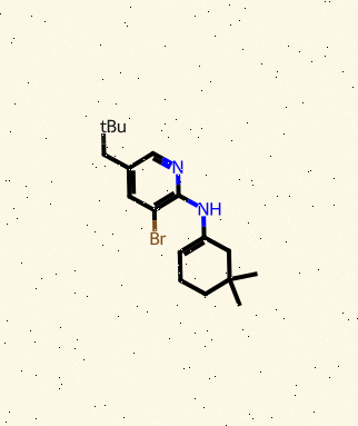 CC(C)(C)Cc1cnc(NC2=CCCC(C)(C)C2)c(Br)c1